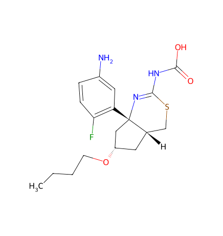 CCCCO[C@H]1C[C@H]2CSC(NC(=O)O)=N[C@@]2(c2cc(N)ccc2F)C1